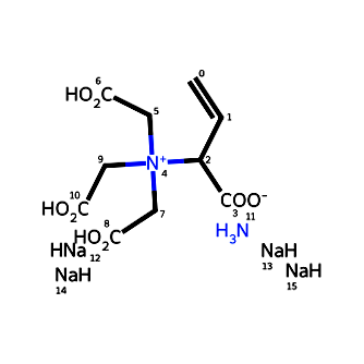 C=CC(C(=O)[O-])[N+](CC(=O)O)(CC(=O)O)CC(=O)O.N.[NaH].[NaH].[NaH].[NaH]